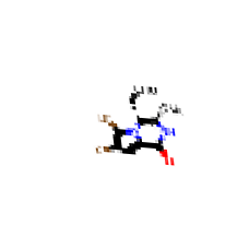 CO[C@H]1NC(=O)c2cc(Br)c(Br)n2[C@@H]1CC=O